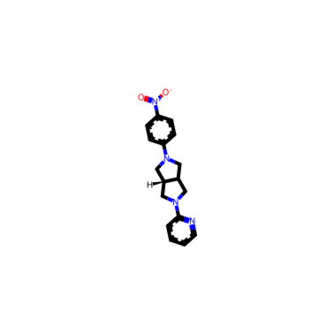 O=[N+]([O-])c1ccc(N2CC3CN(c4ccccn4)C[C@@H]3C2)cc1